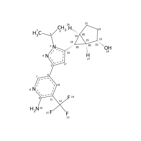 CC(C)n1nc(-c2cnc(N)c(C(F)(F)F)c2)cc1[C@@H]1[C@H]2CC[C@H](O)[C@H]21